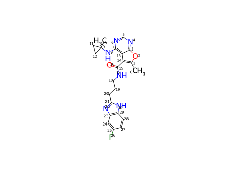 Cc1oc2ncnc(NC3(C)CC3)c2c1C(=O)NCCCc1nc2cc(F)ccc2[nH]1